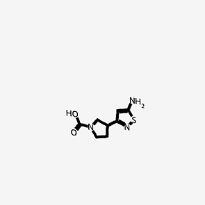 Nc1cc(C2CCN(C(=O)O)C2)ns1